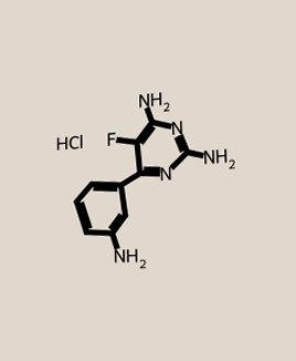 Cl.Nc1cccc(-c2nc(N)nc(N)c2F)c1